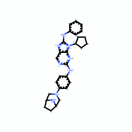 c1ccc(Nc2nc3cnc(Nc4ccc(N5CC6CCC(C5)N6)cc4)nc3n2C2CCCC2)cc1